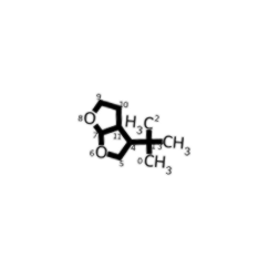 CC(C)(C)C1COC2OCCC21